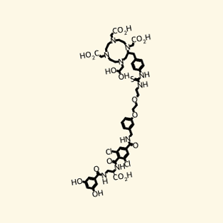 O=C(O)CN1CCN(CC(=O)O)CCN(CC(=O)O)C(Cc2ccc(NC(=S)NCCOCCOc3cccc(CNC(=O)c4cc(Cl)c(C(=O)N[C@@H](CNC(=O)c5cc(O)cc(O)c5)C(=O)O)c(Cl)c4)c3)cc2)CN(CC(O)O)CC1